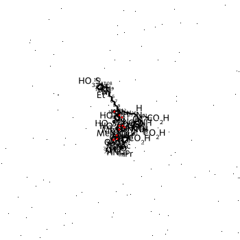 CC[N+]1=C(/C=C/C=C/C=C/C=C2/N(CCCCCC(=O)N[C@H](CCC(=O)O)C(=O)N[C@H](CCC(=O)O)C(=O)N[C@H](CCC(=O)O)C(=O)N[C@H](CCC(=O)O)C(=O)N[C@H](CCC(=O)O)C(=O)N[C@@H](Cc3ccc(C(C)=O)cc3)C(=O)NCCOCC(=O)N3CCC[C@H]3C(=O)N[C@@H](CC(C)C)C(=O)NCC(=O)N[C@@H](CSC)C(=O)NC)c3ccc(S(=O)(=O)O)cc3C2(C)C)C(C)(C)c2cc(S(=O)(=O)O)ccc21